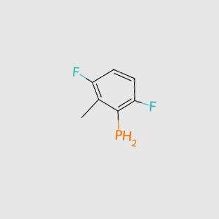 Cc1c(F)ccc(F)c1P